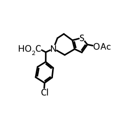 CC(=O)Oc1cc2c(s1)CCN(C(C(=O)O)c1ccc(Cl)cc1)C2